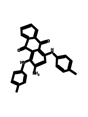 Cc1ccc(Nc2cc(N)c(Nc3ccc(C)cc3)c3c2C(=O)c2ccccc2C3=O)cc1